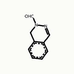 O=[C]N1Cc2ccccc2C=N1